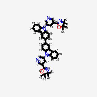 CC1(C)N=C(c2cncc(-n3c4ccccc4c4cc(-c5ccc6c(c5)c5ccccc5n6-c5cncc(C6=NC(C)(C)C(C)(C)O6)c5)ccc43)c2)OC1(C)C